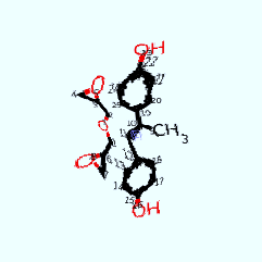 C(OCC1CO1)C1CO1.C/C(=C\c1ccc(O)cc1)c1ccc(O)cc1